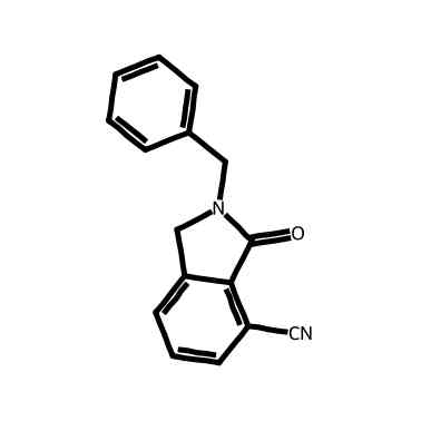 N#Cc1cccc2c1C(=O)N(Cc1ccccc1)C2